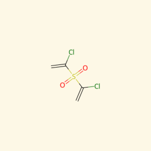 C=C(Cl)S(=O)(=O)C(=C)Cl